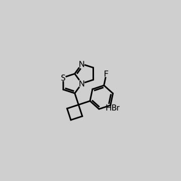 Br.Fc1cccc(C2(C3=CSC4=NCCN34)CCC2)c1